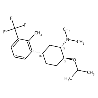 Cc1c([C@H]2CC[C@H](OC(C)C)[C@@H](N(C)C)C2)cccc1C(F)(F)F